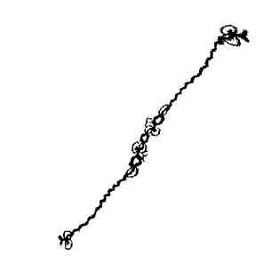 C=C(C)C(=O)OCCCCCCCCCCCCCCCCCCCCOc1ccc(C(=O)Oc2ccc(OC(=O)c3ccc(OCCCCCCCCCCCCCCCCCCCCOC(=O)C(=C)C)cc3F)cc2)c(F)c1